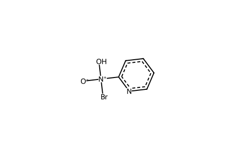 [O-][N+](O)(Br)c1ccccn1